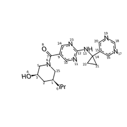 CC(C)[C@H]1C[C@@H](O)CN(C(=O)c2cnc(NC3(c4cncnc4)CC3)nc2)C1